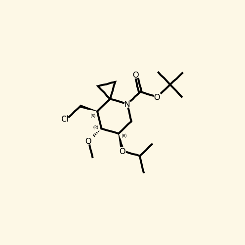 CO[C@@H]1[C@@H](CCl)C2(CC2)N(C(=O)OC(C)(C)C)C[C@H]1OC(C)C